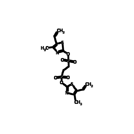 C=Cc1sc(OS(=O)(=O)CCS(=O)(=O)Oc2nc(C)c(C=C)s2)nc1C